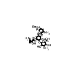 CCNC[C@@H]1CC[C@@H](N)[C@@H](OC2[C@@H](N)C[C@@H](NC(=O)C3(O)CC3N)[C@H](O[C@H]3O[C@H](CO)[C@@H](O)[C@H](N)[C@H]3O)[C@H]2O)O1